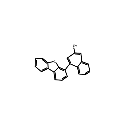 CC(C)c1cc(-c2cccc3c2oc2ccccc23)c2ccccc2c1